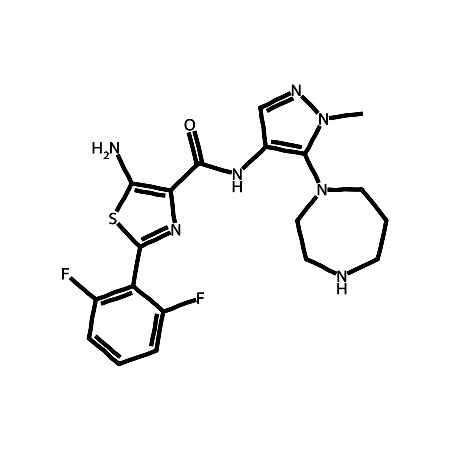 Cn1ncc(NC(=O)c2nc(-c3c(F)cccc3F)sc2N)c1N1CCCNCC1